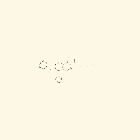 COCCNC(=O)c1c(O)c2ncc(Cc3ccccc3)cc2n(Cc2nccs2)c1=O